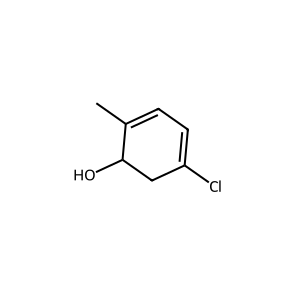 CC1=CC=C(Cl)CC1O